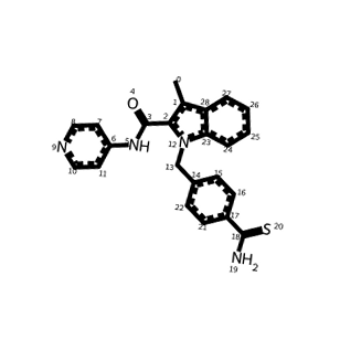 Cc1c(C(=O)Nc2ccncc2)n(Cc2ccc(C(N)=S)cc2)c2ccccc12